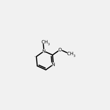 COC1=NC=C[CH]N1C